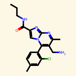 CCCNC(=O)c1cn2c(-c3ccc(C)cc3Cl)c(CN)c(C)nc2n1